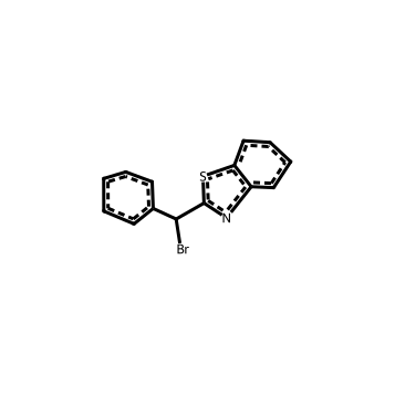 BrC(c1ccccc1)c1nc2ccccc2s1